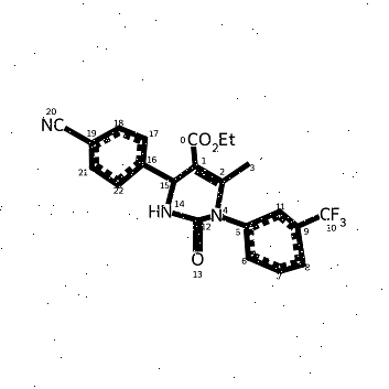 CCOC(=O)C1=C(C)N(c2cccc(C(F)(F)F)c2)C(=O)NC1c1ccc(C#N)cc1